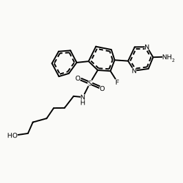 Nc1cnc(-c2ccc(-c3ccccc3)c(S(=O)(=O)NCCCCCCO)c2F)cn1